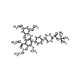 CCc1c(OCOC)c(C(=O)OC)c(=O)n(Cc2ccc(OC)cc2OC)c1-c1ccc(C2=CCN(C(=O)OC(C)(C)C)CC2)cc1